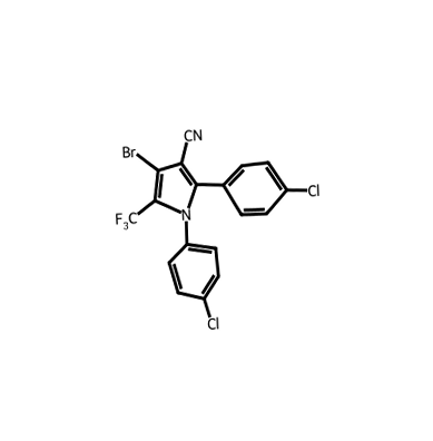 N#Cc1c(Br)c(C(F)(F)F)n(-c2ccc(Cl)cc2)c1-c1ccc(Cl)cc1